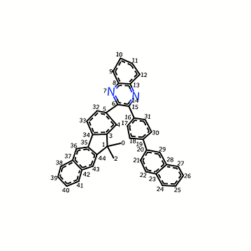 CC1(C)c2cc(-c3nc4ccccc4nc3-c3ccc(-c4ccc5ccccc5c4)cc3)ccc2-c2cc3ccccc3cc21